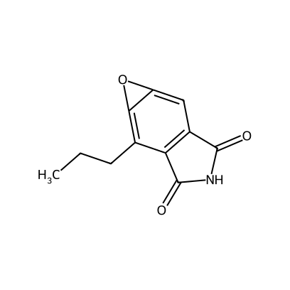 CCCc1c2oc2cc2c(=O)[nH]c(=O)c12